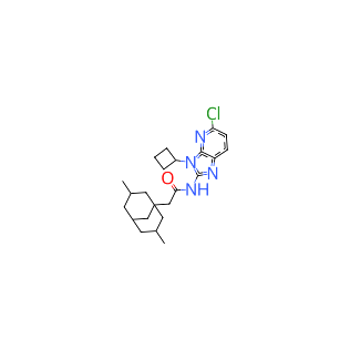 CC1CC2CC(C)CC(CC(=O)Nc3nc4ccc(Cl)nc4n3C3CCC3)(C1)C2